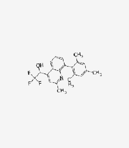 Cc1cc(C)c(-c2cccc3c(C(O)C(F)(F)F)cc(C)nc23)c(C)c1